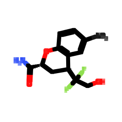 NC(=O)[C@H]1C[C](C(F)(F)CO)c2cc([N+](=O)[O-])ccc2O1